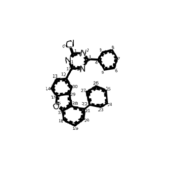 Clc1nc(-c2ccccc2)nc(-c2ccc3oc4cccc(-c5ccccc5)c4c3c2)n1